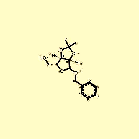 CC1(C)O[C@@H]2[C@@H](CO)OC(OCc3ccccc3)[C@@H]2O1